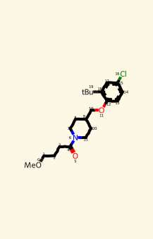 COCCCC(=O)N1CCC(COc2ccc(Cl)cc2C(C)(C)C)CC1